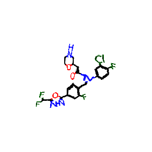 O=C(CC1CNCCO1)N(Cc1ccc(-c2nnc(C(F)F)o2)cc1F)c1ccc(F)c(Cl)c1